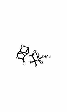 COS(=O)(=O)C(F)(F)C(=O)OC1C2CC3C(=O)OC1C3O2